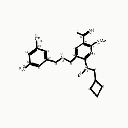 CCN(CC1CCC1)c1nc(NC)c(C(C)=N)cc1CNCc1cc(C(F)(F)F)cc(C(F)(F)F)c1